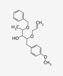 C=CCOC(Cc1ccc(OC)cc1)C(O)C(C)OCc1ccccc1